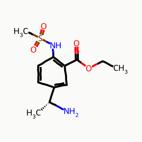 CCOC(=O)c1cc([C@@H](C)N)ccc1NS(C)(=O)=O